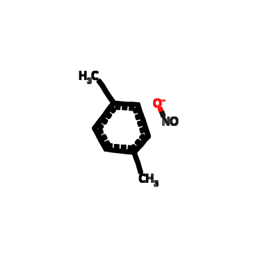 Cc1ccc(C)cc1.O=[NH+][O-]